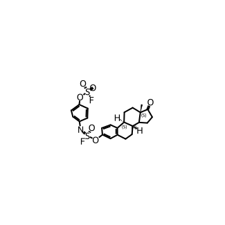 C[C@]12CC[C@@H]3c4ccc(OS(=O)(F)=Nc5ccc(OS(=O)(=O)F)cc5)cc4CC[C@H]3C1CCC2=O